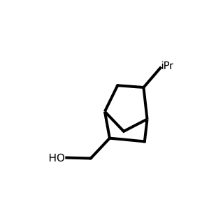 CC(C)C1CC2CC1CC2CO